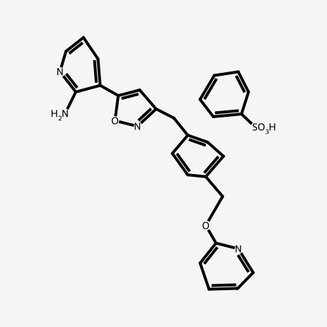 Nc1ncccc1-c1cc(Cc2ccc(COc3ccccn3)cc2)no1.O=S(=O)(O)c1ccccc1